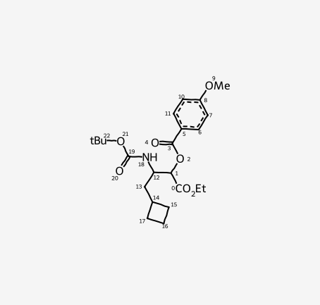 CCOC(=O)C(OC(=O)c1ccc(OC)cc1)C(CC1CCC1)NC(=O)OC(C)(C)C